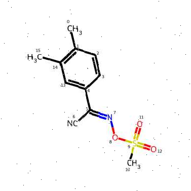 Cc1ccc(C(C#N)=NOS(C)(=O)=O)cc1C